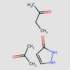 CC(C)=O.CCC(C)=O.O=c1cc[nH][nH]1